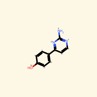 Nc1nccc(-c2ccc(O)cc2)n1